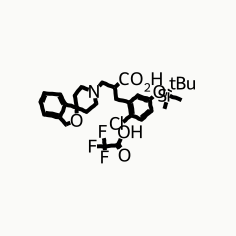 CC(C)(C)[Si](C)(C)Oc1ccc(Cl)c(CC(CN2CCC3(CC2)OCc2ccccc23)C(=O)O)c1.O=C(O)C(F)(F)F